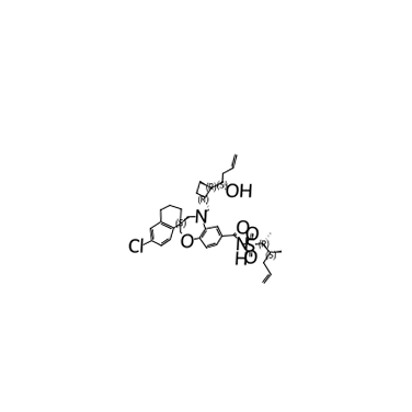 C=CC[C@H](C)[C@@H](C)S(=O)(=O)NC(=O)c1ccc2c(c1)N(C[C@@H]1CC[C@H]1[C@@H](O)CC=C)C[C@@]1(CCCc3cc(Cl)ccc31)CO2